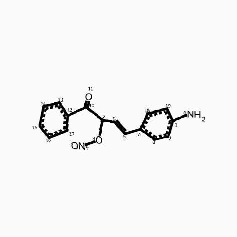 Nc1ccc(C=CC(ON=O)C(=O)c2ccccc2)cc1